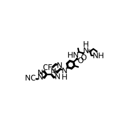 Cc1cc(Nc2nccn3c(-c4cn(CC#N)nc4C(F)(F)F)cnc23)ccc1C(=O)NC(C)C(=O)N[C@@H]1CCNC1